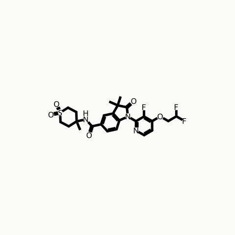 CC1(NC(=O)c2ccc3c(c2)C(C)(C)C(=O)N3c2nccc(OCC(F)F)c2F)CCS(=O)(=O)CC1